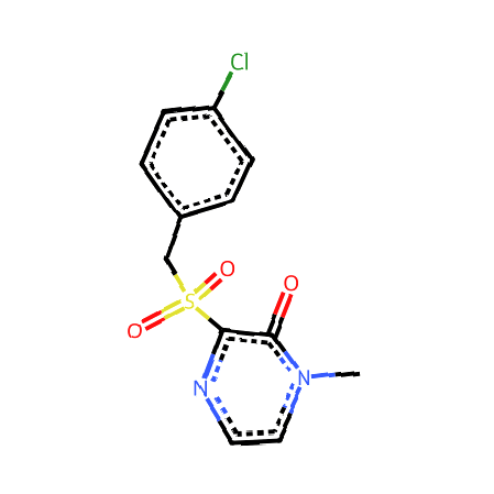 Cn1ccnc(S(=O)(=O)Cc2ccc(Cl)cc2)c1=O